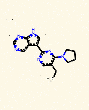 CCc1cnc(-c2c[nH]c3ncncc23)nc1N1CCCC1